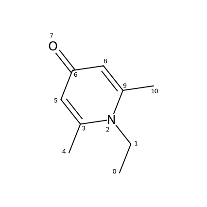 CCn1c(C)cc(=O)cc1C